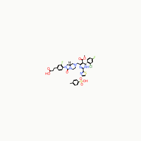 COC(=O)C1=C(CN2CCN3C(=O)N(c4ccc(CCC(=O)O)cc4F)C[C@@H]3C2)N=C(c2nccs2)N[C@H]1c1ccc(F)cc1Cl.Cc1ccc(S(=O)(=O)O)cc1